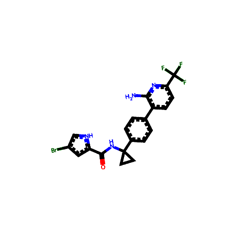 Nc1nc(C(F)(F)F)ccc1-c1ccc(C2(NC(=O)c3cc(Br)c[nH]3)CC2)cc1